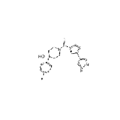 O=C(c1csc(-c2cn[nH]c2)c1)N1CCC(O)(c2ccc(F)cc2)CC1